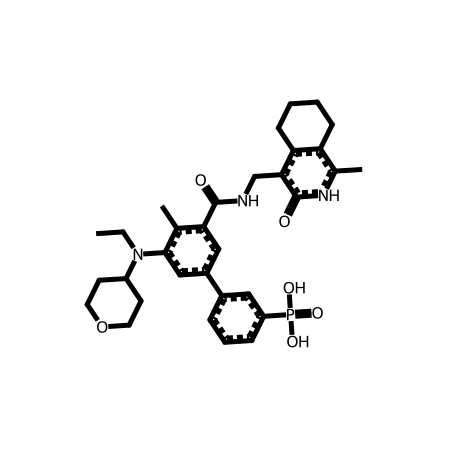 CCN(c1cc(-c2cccc(P(=O)(O)O)c2)cc(C(=O)NCc2c3c(c(C)[nH]c2=O)CCCC3)c1C)C1CCOCC1